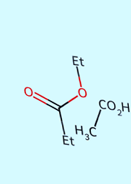 CC(=O)O.CCOC(=O)CC